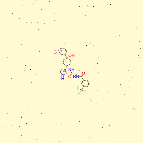 O=C(CNC(=O)c1cccc(C(F)(F)F)c1)N[C@@]1(C2CCC(O)(c3ccc[n+]([O-])c3)CC2)CCNC1